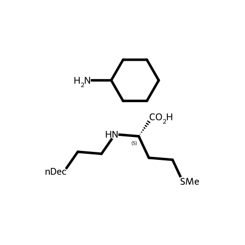 CCCCCCCCCCCCN[C@@H](CCSC)C(=O)O.NC1CCCCC1